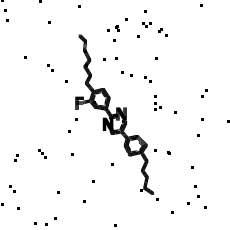 CCCCCCCc1ccc(-c2ncc(-c3ccc(CCCCC)cc3)cn2)cc1F